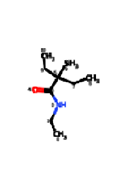 CCNC(=O)C([SiH3])(CC)CC